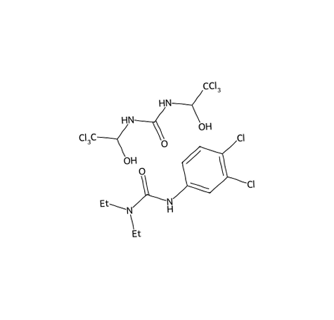 CCN(CC)C(=O)Nc1ccc(Cl)c(Cl)c1.O=C(NC(O)C(Cl)(Cl)Cl)NC(O)C(Cl)(Cl)Cl